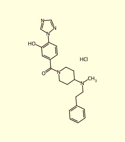 CN(CCc1ccccc1)C1CCN(C(=O)c2ccc(-n3cncn3)c(O)c2)CC1.Cl